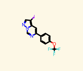 FC(F)(F)Oc1ccc(-c2cc3c(I)cnn3cn2)cc1